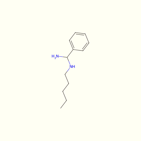 CCCCCNC(N)c1ccccc1